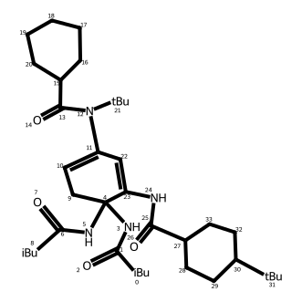 CCC(C)C(=O)NC1(NC(=O)C(C)CC)CC=C(N(C(=O)C2CCCCC2)C(C)(C)C)C=C1NC(=O)C1CCC(C(C)(C)C)CC1